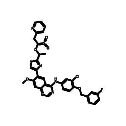 COc1cc2ncnc(Nc3ccc(OCc4cccc(F)c4)c(Cl)c3)c2cc1-c1csc(C(C)OC(Cc2ccccn2)=S(=O)=O)n1